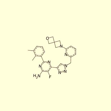 Cc1cccc(-c2nc(N)c(F)c(-c3cn(Cc4cccc(N5CC6(COC6)C5)n4)nn3)n2)c1C